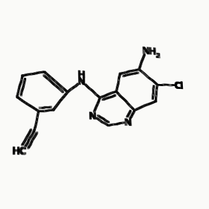 C#Cc1cccc(Nc2ncnc3cc(Cl)c(N)cc23)c1